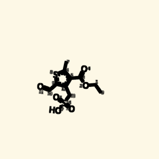 CCOC(=O)c1c(C)sc(C=O)c1CS(=O)(=O)O